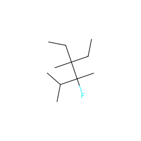 CCC(C)(CC)C(C)(F)C(C)C